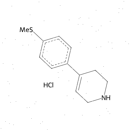 CSc1ccc(C2=CCNCC2)cc1.Cl